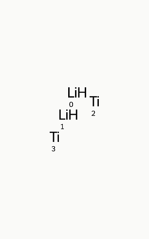 [LiH].[LiH].[Ti].[Ti]